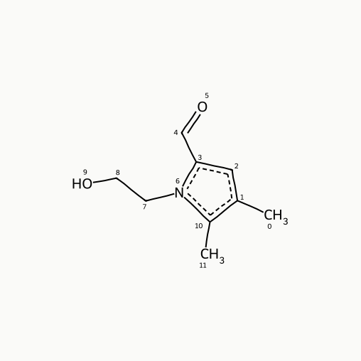 Cc1cc(C=O)n(CCO)c1C